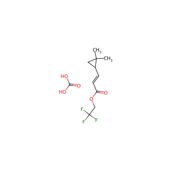 CC1(C)CC1C=CC(=O)OCC(F)(F)F.O=C(O)O